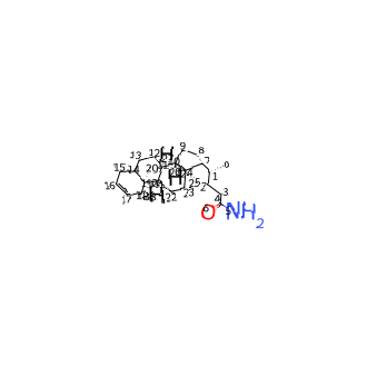 C[C@H](CCC(N)=O)[C@H]1CC[C@H]2[C@@H]3CCC4CC=CC[C@]4(C)[C@H]3CC[C@]12C